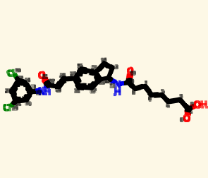 O=C(O)CCCCCCC(=O)NC1CCc2cc(/C=C/C(=O)Nc3cc(Cl)cc(Cl)c3)ccc21